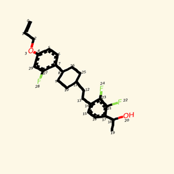 C=CCOc1ccc(C2CCC(CCc3ccc(C(C)O)c(F)c3F)CC2)c(F)c1